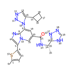 Cc1ccc(-c2cnc3c(-n4nncc4C4CCC4)cc(C(=O)N[C@@H](C)c4nnc[nH]4)cn23)s1